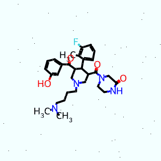 Cc1c(F)cccc1C1C(C(=O)c2cccc(O)c2)CN(CCCCN(C)C)CC1C(=O)N1CCNC(=O)C1